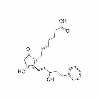 O=C(O)CCCC=CC[C@H]1C(=O)C[C@@H](O)[C@@H]1C=CC(O)CCc1ccccc1